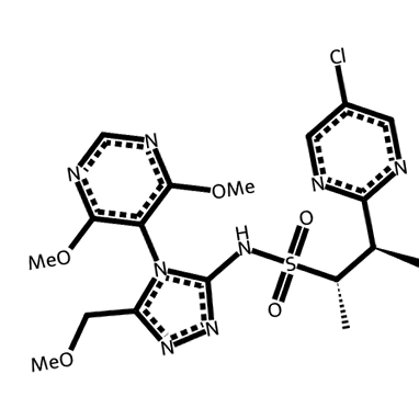 COCc1nnc(NS(=O)(=O)[C@@H](C)[C@H](C)c2ncc(Cl)cn2)n1-c1c(OC)ncnc1OC